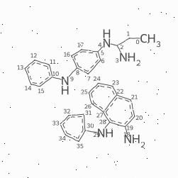 CCC(N)Nc1ccc(Nc2ccccc2)cc1.Nc1ccc2ccccc2c1Nc1ccccc1